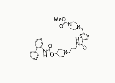 COC(=O)N1CCN(Cc2ccc(C(=O)NCCCN3CCC(OC(=O)Nc4ccccc4-c4ccccc4)CC3)s2)CC1